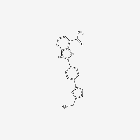 NCc1ccn(-c2ccc(-c3nc4c(C(N)=O)cccc4[nH]3)cc2)c1